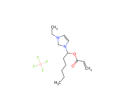 C=CC(=O)OC(CCCCC)N1C=CN(CC)C1.F[B-](F)(F)F